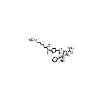 CCCCCCCCCCCCCCCC(=O)Nc1ccc(C(=O)C(SC2(c3ccccc3)N=NN=N2)C2=NN(C(CC)CCCC)NS2)cc1